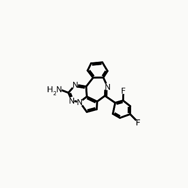 Nc1nc2c3c(ccn3n1)C(c1ccc(F)cc1F)=Nc1ccccc1-2